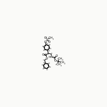 CC(C)(C)OC(=O)NCC(C(=O)OCc1ccccc1)c1ccc(OS(C)(=O)=O)cc1